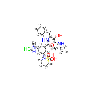 CCCC1(NC[C@H](O)[C@H](Cc2ccccc2)NC(=O)c2cc(NCC)cc(N3CCCCS3(O)O)c2)CCC1.Cl